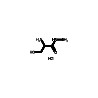 Cl.NNC(=O)C(N)CO